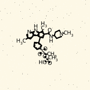 CCS(=O)(=O)c1cccc(-c2cc(C(=O)NC3CCN(C)CC3)c(C)c3[nH]c4ncc(C)cc4c23)c1.CS(=O)(=O)O